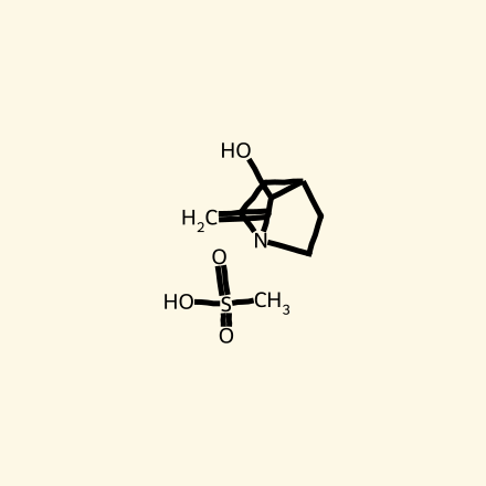 C=C1C(O)C2CCN1CC2.CS(=O)(=O)O